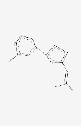 CC(C)=Cc1ccc(-c2ccnc(C)c2)s1